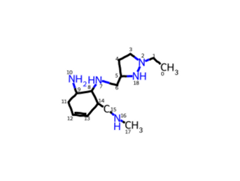 CCN1CCC(CNC2C(N)CC=CC2CNC)N1